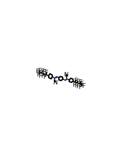 N#C/C(=C\c1ccc(/C=C(\C#N)c2ccc(C(F)(F)C(F)(F)C(F)(F)C(F)(F)F)cc2)cc1)c1ccc(C(F)(F)C(F)(F)C(F)(F)C(F)(F)F)cc1